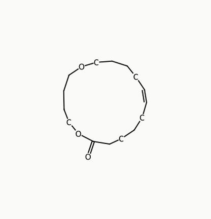 O=C1CCCC/C=C\CCCCOCCCCO1